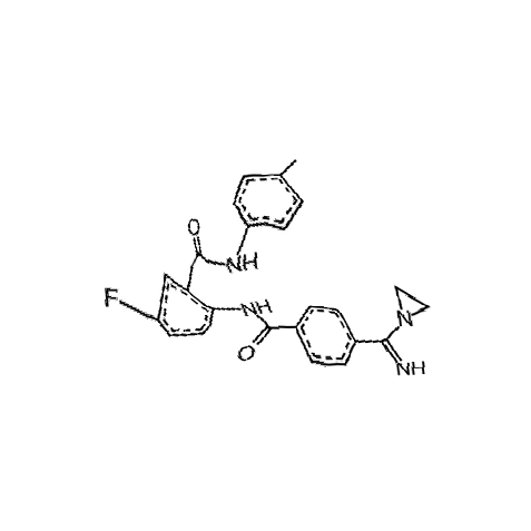 Cc1ccc(NC(=O)c2cc(F)ccc2NC(=O)c2ccc(C(=N)N3CC3)cc2)cc1